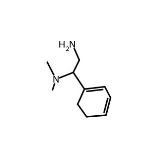 CN(C)C(CN)C1=CC=CCC1